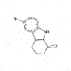 O=C1CCCC2c3cc(Br)ccc3NC12